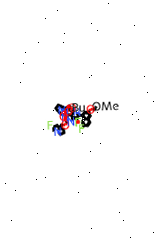 COCOc1cc(-c2nc3c4c(nc(OCC56CCCN5CC(F)C6)nc4c2F)N2CC4CCC(C2CO3)N4C(=O)OC(C)(C)C)c2c(F)c(F)ccc2c1